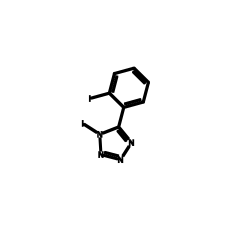 Ic1ccccc1-c1nnnn1I